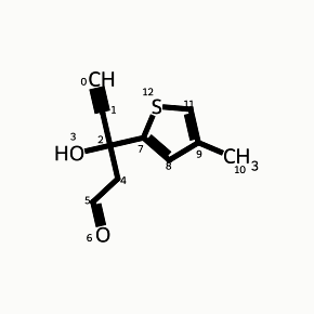 C#CC(O)(CC=O)c1cc(C)cs1